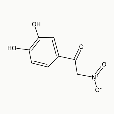 O=C(C[N+](=O)[O-])c1ccc(O)c(O)c1